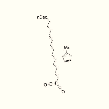 CCCCCCCCCCCCCCCCCCCCCCCP(=C=O)=C=O.[Mn][C]1=CC=CC1